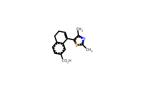 Cc1nc(C)c(C2=CCCc3ccc(C(=O)O)cc32)s1